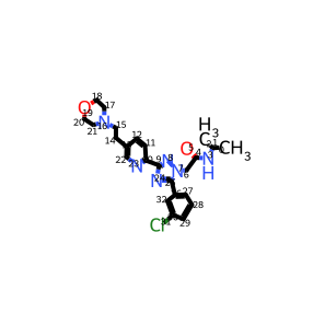 CC(C)NC(=O)Cn1nc(-c2ccc(CCN3CCOCC3)cn2)nc1-c1cccc(Cl)c1